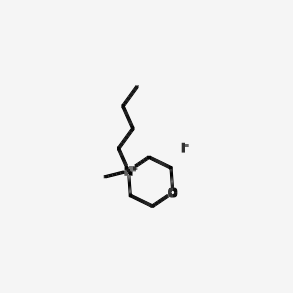 CCCC[N+]1(C)CCOCC1.[I-]